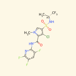 C[C@@H](NS(=O)(=O)c1cn(C)c(C(=O)Nc2nc(F)c(F)cc2F)c1Cl)C(F)(F)F